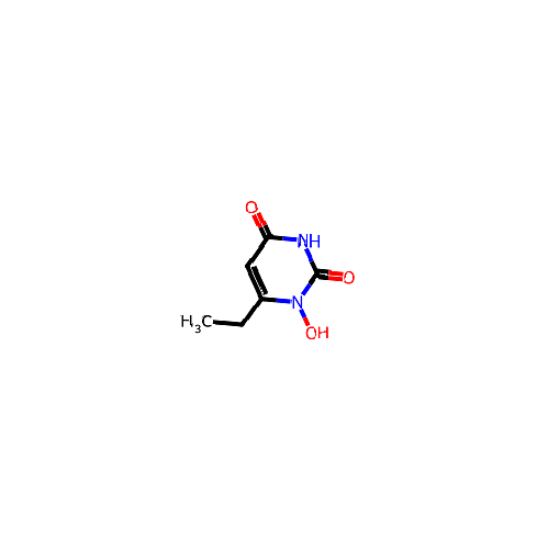 CCc1cc(=O)[nH]c(=O)n1O